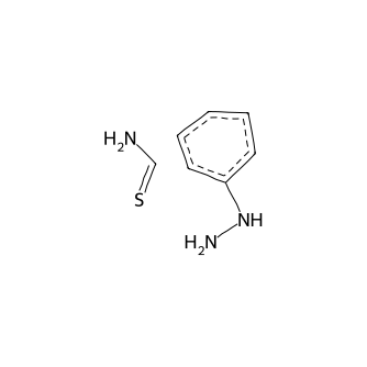 NC=S.NNc1ccccc1